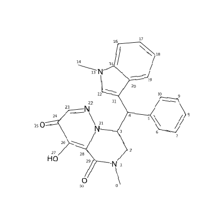 CN1CC(C(c2ccccc2)c2cn(C)c3ccccc23)n2ncc(=O)c(O)c2C1=O